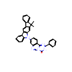 CC1(C)c2ccccc2-c2cc3c4ccccc4n(-c4ccc5c(c4)ncn4c(=O)nc(-c6ccccc6)nc54)c3cc21